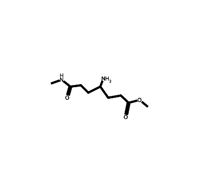 CNC(=O)CCC(N)CCC(=O)OC